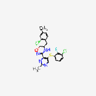 Cc1ccc(CC2CON=C(c3nc(C)ncc3Sc3cccc(Cl)c3F)N2)c(Cl)c1